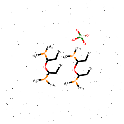 CP(C)C([CH2][Tc])OC([CH2][Tc])P(C)C.CP(C)C([CH2][Tc])OC([CH2][Tc])P(C)C.[O-][Cl+3]([O-])([O-])O